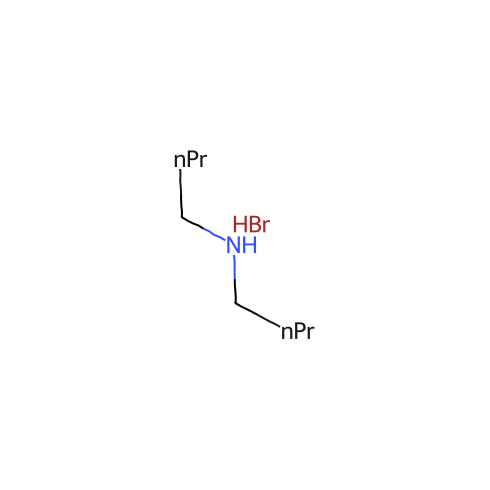 Br.CCCCNCCCC